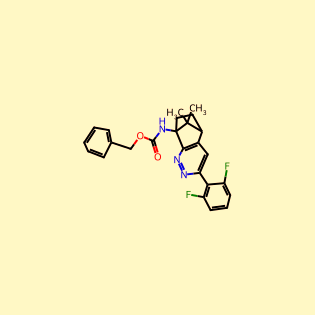 CC1(C)C2CCC1(NC(=O)OCc1ccccc1)c1nnc(-c3c(F)cccc3F)cc12